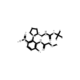 COCC(=O)Nc1c(F)ccc([N+](=O)[O-])c1N1CCC[C@H]1CNC(=O)OC(C)(C)C